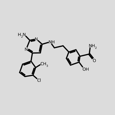 Cc1c(Cl)cccc1-c1cc(NCCc2ccc(O)c(C(N)=O)c2)nc(N)n1